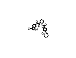 O=C(N[C@H]1CCCC[C@H]1NC(=O)c1ccc2c(Cl)c[nH]c2c1)c1ccc(N2CCCCCC2=O)cc1